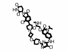 CNC(=O)COc1cc2cc(Nc3nc(N4CCC(OC5CC(N6CCC(c7ccc8c(c7Cl)CN(C7CCC(=O)NC7=O)C8=O)CC6)C5)CC4)ncc3Cl)ccc2n(C(C)C)c1=O